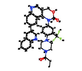 CCC(=O)N1CCN(c2ccc(N3C(=O)OCc4cnc5ccc(-c6cnc7ccccc7c6)cc5c43)cc2C(F)(F)F)CC1